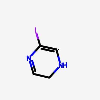 IC1=[C]NCC=N1